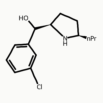 CCC[C@@H]1CC[C@H](C(O)c2cccc(Cl)c2)N1